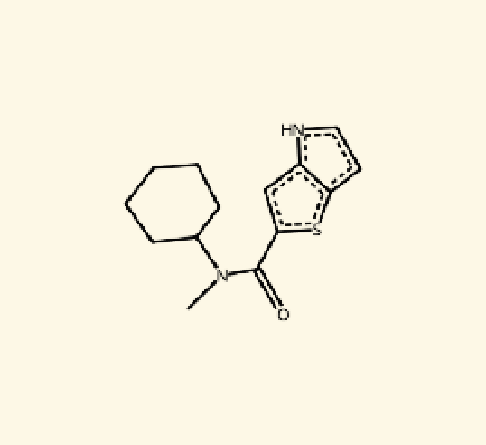 CN(C(=O)c1cc2[nH]ccc2s1)C1CCCCC1